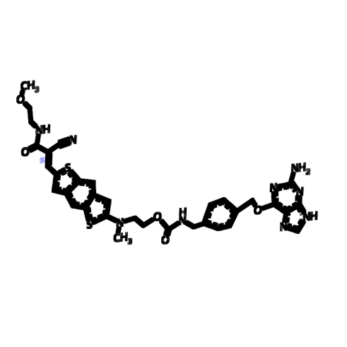 COCCNC(=O)/C(C#N)=C/c1cc2cc3sc(N(C)CCOC(=O)NCc4ccc(COc5nc(N)nc6[nH]cnc56)cc4)cc3cc2s1